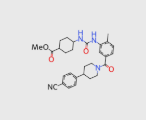 COC(=O)C1CCC(NC(=O)Nc2cc(C(=O)N3CCC(c4ccc(C#N)cc4)CC3)ccc2C)CC1